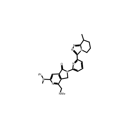 CNCc1nc(N(C)C(C)C)cc2c1CN(c1cccc(-c3nnc4n3CCCC4C)n1)C2=O